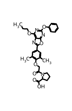 CCCOc1nc(Oc2ccccc2)nc2oc(-c3cc(C)c(OCC(=O)N4CCCC4C(=O)O)c(C)c3)nc12